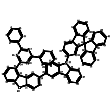 c1ccc(-c2nc(-c3ccccc3)nc(-c3cccc4oc5ccc(-c6ccc7c(c6)c6ccccc6n7-c6ccc7c(c6)C6(c8ccccc8-c8ccccc86)c6ccccc6-7)cc5c34)n2)cc1